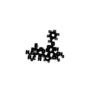 CC(C)C(NC(=O)C1CCCN1C(=O)C(NC(=O)OCc1ccccc1)C(C)C)C(=O)C(F)F